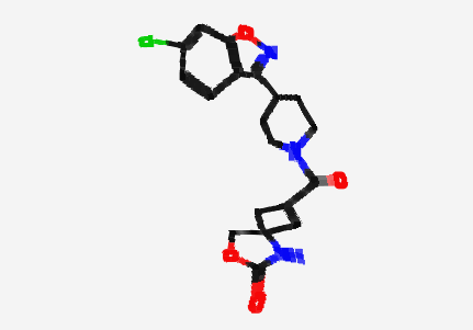 O=C1NC2(CO1)CC(C(=O)N1CCC(c3noc4cc(Cl)ccc34)CC1)C2